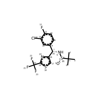 CC(C)(C)[S@+]([O-])N[C@@H](c1ccc(F)c(Cl)c1)c1csc(C(F)(F)F)n1